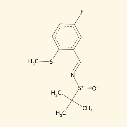 CSc1ccc(F)cc1C=N[S@+]([O-])C(C)(C)C